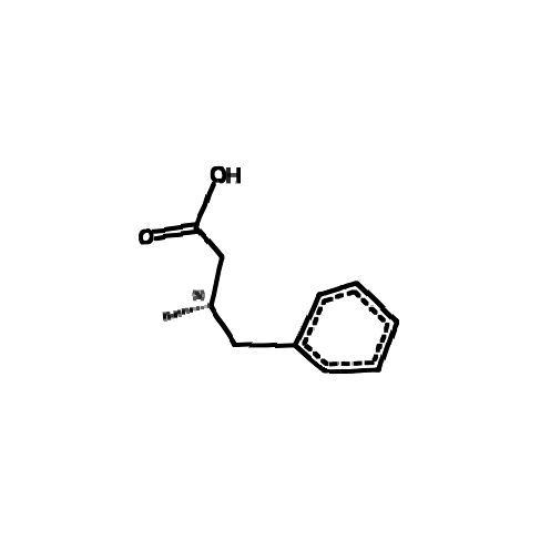 C[C@H](CC(=O)O)Cc1ccccc1